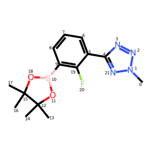 Cn1nnc(-c2cccc(B3OC(C)(C)C(C)(C)O3)c2F)n1